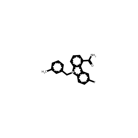 Cc1cccc(Cn2c3ccc(F)[c]c3c3c(C(N)=O)cccc32)c1